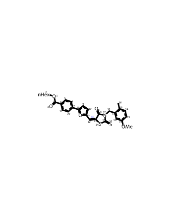 CCCCCCOC(=O)c1ccc(-c2ccc(/C=C3/SC(=S)N(Cc4cc(OC)ccc4C)C3=O)o2)cc1